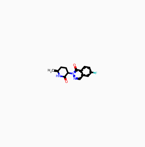 C=C1CCC(n2ncc3cc(F)ccc3c2=O)C(=O)N1